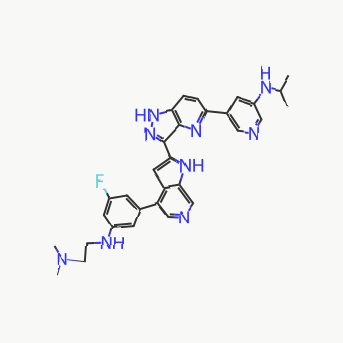 CC(C)Nc1cncc(-c2ccc3[nH]nc(-c4cc5c(-c6cc(F)cc(NCCN(C)C)c6)cncc5[nH]4)c3n2)c1